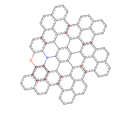 c1ccc2c(c1)Oc1ccccc1N2c1c(-c2ccc3ccc4cccc5ccc2c3c45)c(-c2ccc3ccc4cccc5ccc2c3c45)c(-c2ccc3ccc4cccc5ccc2c3c45)c(-c2ccc3ccc4cccc5ccc2c3c45)c1-c1ccc2ccc3cccc4ccc1c2c34